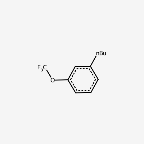 C[CH]CCc1cccc(OC(F)(F)F)c1